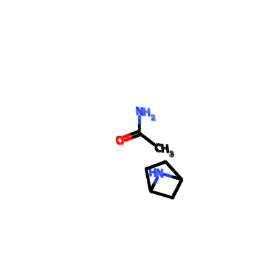 C1CC2CC1N2.CC(N)=O